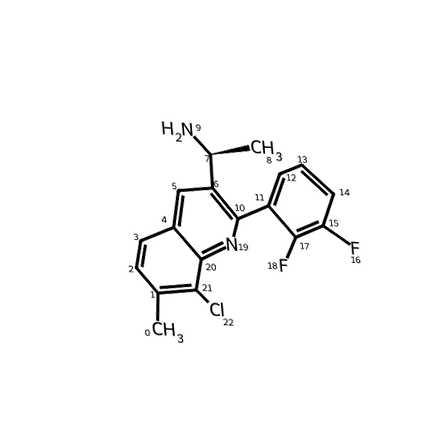 Cc1ccc2cc([C@H](C)N)c(-c3cccc(F)c3F)nc2c1Cl